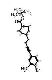 Cc1cc(C#CCCC2CCN(C(=O)OC(C)(C)C)CC2)ccc1Br